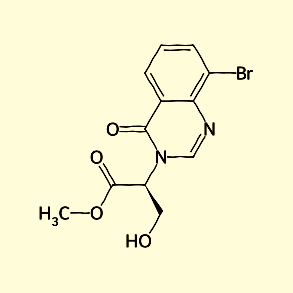 COC(=O)[C@H](CO)n1cnc2c(Br)cccc2c1=O